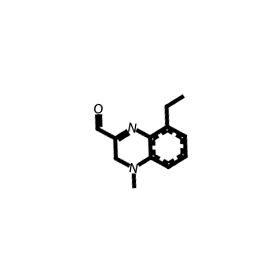 CCc1cccc2c1N=C(C=O)CN2C